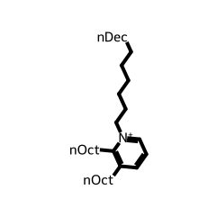 CCCCCCCCCCCCCCCC[n+]1cccc(CCCCCCCC)c1CCCCCCCC